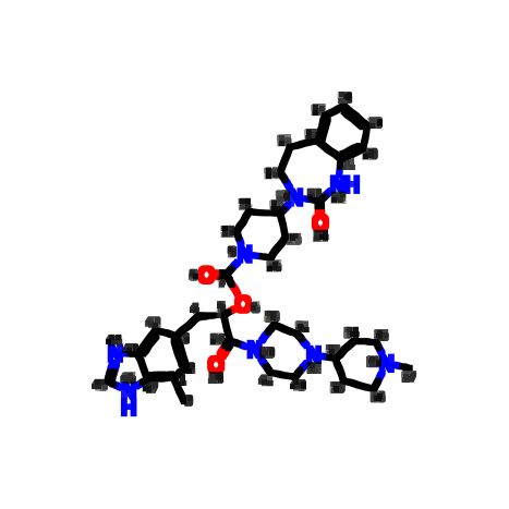 Cc1cc(C[C@@H](OC(=O)N2CCC(N3CCc4ccccc4NC3=O)CC2)C(=O)N2CCN(C3CCN(C)CC3)CC2)cc2nc[nH]c12